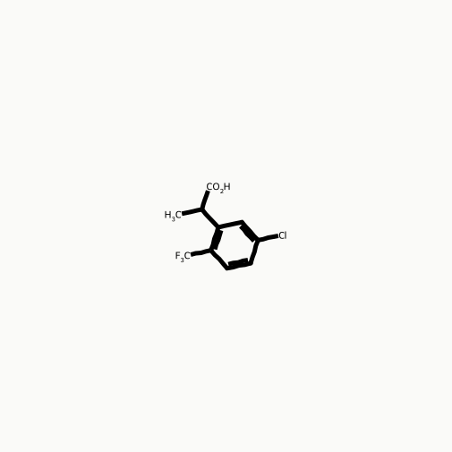 CC(C(=O)O)c1cc(Cl)ccc1C(F)(F)F